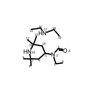 CCN(C=O)C1CC(C)(C)NC(C)(C)C1.CCNCC